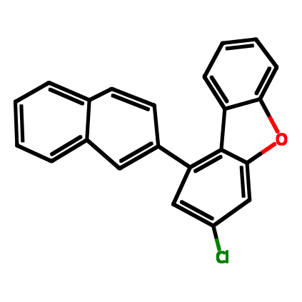 Clc1cc(-c2ccc3ccccc3c2)c2c(c1)oc1ccccc12